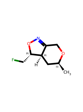 C[C@H]1C[C@@H]2C(=NO[C@H]2CF)CO1